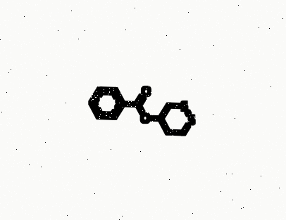 O=C(OC1CCSSC1)c1ccccc1